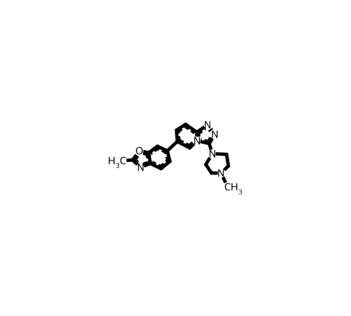 Cc1nc2ccc(-c3ccc4nnc(N5CCN(C)CC5)n4c3)cc2o1